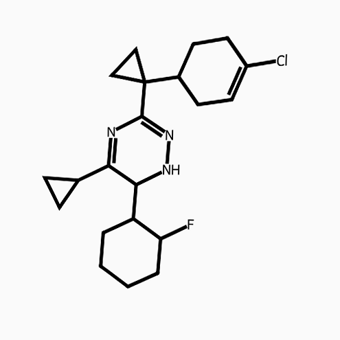 FC1CCCCC1C1NN=C(C2(C3CC=C(Cl)CC3)CC2)N=C1C1CC1